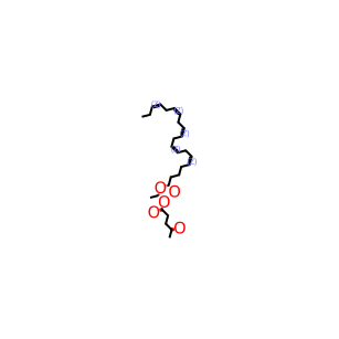 CC/C=C\C/C=C\C/C=C\C/C=C\C/C=C\CCCC(=O)OC(C)OC(=O)CCC(C)=O